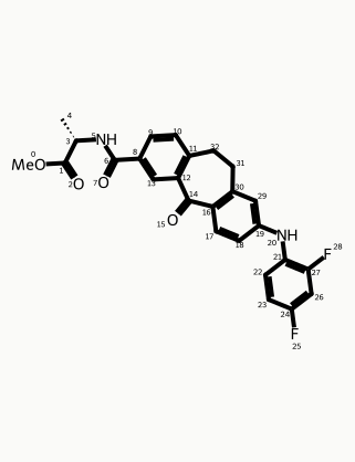 COC(=O)[C@H](C)NC(=O)c1ccc2c(c1)C(=O)c1ccc(Nc3ccc(F)cc3F)cc1CC2